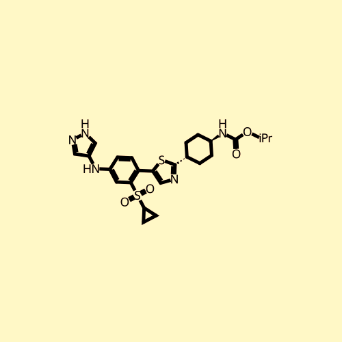 CC(C)OC(=O)N[C@H]1CC[C@H](c2ncc(-c3ccc(Nc4cn[nH]c4)cc3S(=O)(=O)C3CC3)s2)CC1